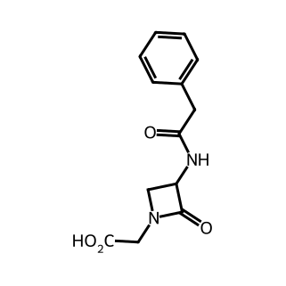 O=C(O)CN1CC(NC(=O)Cc2ccccc2)C1=O